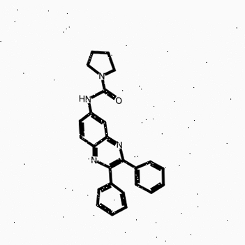 O=C(Nc1ccc2nc(-c3ccccc3)c(-c3ccccc3)nc2c1)N1CCCC1